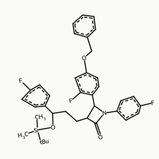 CC(C)(C)[Si](C)(C)OC(CCC1C(=O)N(c2ccc(F)cc2)C1c1ccc(OCc2ccccc2)cc1F)c1ccc(F)cc1